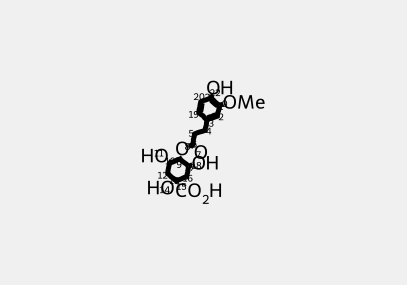 COc1cc(CCC(=O)O[C@H]2C(O)C[C@](O)(C(=O)O)CC2O)ccc1O